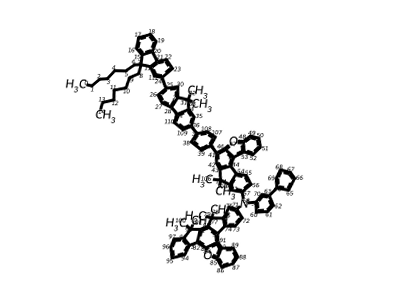 CCCCCCCC1(CCCCCCC)c2ccccc2-c2ccc(-c3ccc4c(c3)C(C)(C)c3cc(-c5ccc(-c6cc7c(c8c6oc6ccccc68)-c6ccc(N(c8cccc(-c9ccccc9)c8)c8ccc9c(c8)C(C)(C)c8c%10c(c%11oc%12ccccc%12c%11c8-9)-c8ccccc8C%10(C)C)cc6C7(C)C)cc5)ccc3-4)cc21